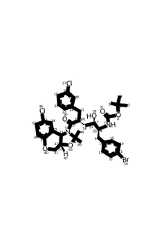 CC(C)(C)OC(=O)N[C@@H](Cc1ccc(Br)cc1)[C@@H](O)C[C@@H](Cc1cccc(Cl)c1)C(=O)N1C2c3cc(Cl)ccc3OC[C@H]2OC1(C)C